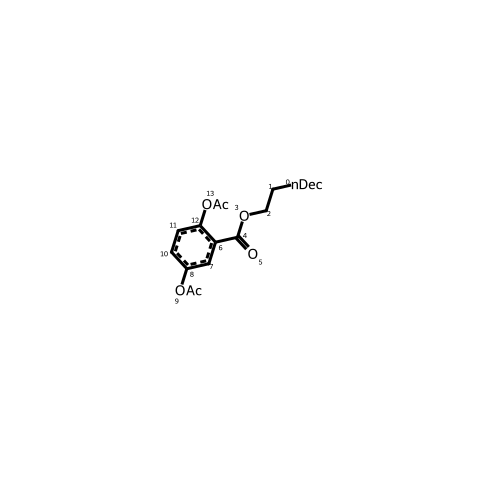 CCCCCCCCCCCCOC(=O)c1cc(OC(C)=O)ccc1OC(C)=O